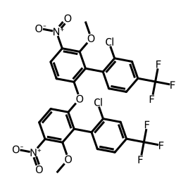 COc1c([N+](=O)[O-])ccc(Oc2ccc([N+](=O)[O-])c(OC)c2-c2ccc(C(F)(F)F)cc2Cl)c1-c1ccc(C(F)(F)F)cc1Cl